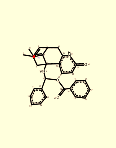 C/C=C1\C2C=C(C)CC1(NC(OC(=O)c1ccccc1)c1ccccc1)c1ccc(=O)[nH]c1C2